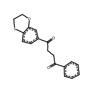 O=C(CCC(=O)c1ccc2c(c1)OCCS2)c1ccccc1